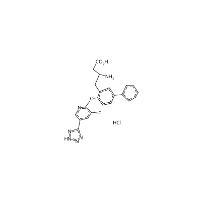 Cl.NC(CC(=O)O)Cc1cc(-c2ccccc2)ccc1Oc1ncc(-c2nn[nH]n2)cc1F